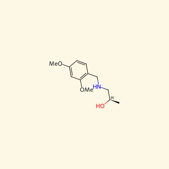 COc1ccc(CNC[C@@H](C)O)c(OC)c1